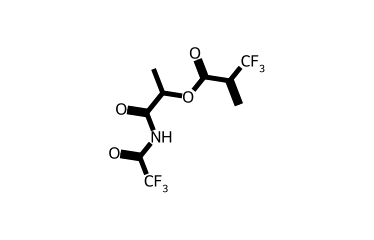 C=C(C(=O)OC(C)C(=O)NC(=O)C(F)(F)F)C(F)(F)F